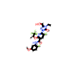 CCn1c(CO)nn(-c2nc(O[C@@H](C)C(F)(F)F)c(C(=O)Nc3cc(OC)ccc3F)cc2F)c1=O